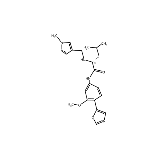 COc1cc(NC(=O)[C@@H](CC(C)C)NCc2cnn(C)c2)ccc1-c1cnco1